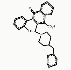 Cc1ccccc1-n1c(CN2CCN(Cc3ccncc3)CC2)c(C(=O)O)c2ccccc2c1=O